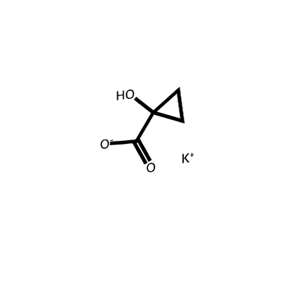 O=C([O-])C1(O)CC1.[K+]